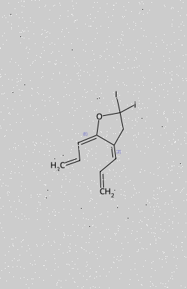 C=C/C=C1/CC(I)(I)O/C1=C/C=C